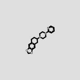 c1ccc(N2CCN(C3CCc4cc5c(cc4C3)OCO5)CC2)nc1